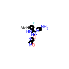 CNc1cc(F)cc2c1[nH]c1nc(Oc3cnc4c(c3)C(=O)N(C)C4)nc(N3CC4CC3C[C@@H]4N)c12